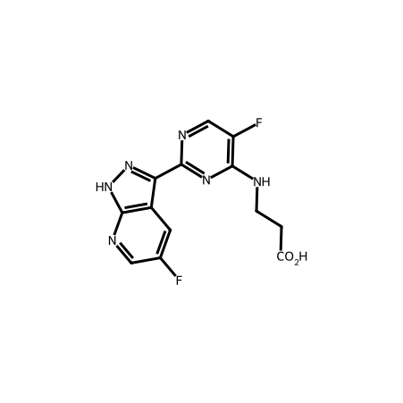 O=C(O)CCNc1nc(-c2n[nH]c3ncc(F)cc23)ncc1F